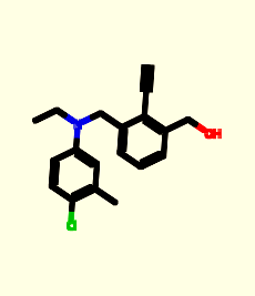 C#Cc1c(CO)cccc1CN(CC)c1ccc(Cl)c(C)c1